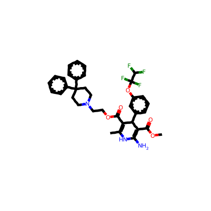 COC(=O)C1=C(N)NC(C)=C(C(=O)OCCN2CCC(c3ccccc3)(c3ccccc3)CC2)C1c1cccc(OC(F)(F)C(F)F)c1